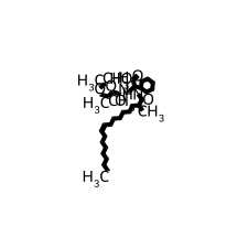 CCCCCCCC/C=C\CCCCCCC(C)C(=O)NC1(C(CNC(=O)C2OC(C)(C)OCC2(C)C)C(=O)O)CCCCC1